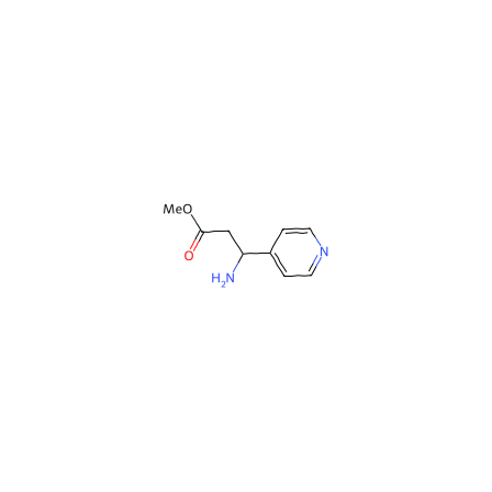 COC(=O)CC(N)c1ccncc1